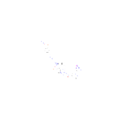 Cc1cc2cc(n1)-c1cnn(C)c1OCCC[C@@H](C)CN1/C(=N/C2=O)Nc2cc(F)c(C(=O)N(C)C3CCN(CCc4cc(F)c([C@H]5CCC(=O)NC5=O)c(F)c4)CC3)cc21